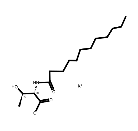 CCCCCCCCCCCC(=O)N[C@H](C(=O)[O-])[C@@H](C)O.[K+]